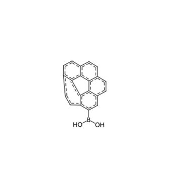 OB(O)c1cc2ccc3ccc4ccc5ccc1c1c5c4c3c21